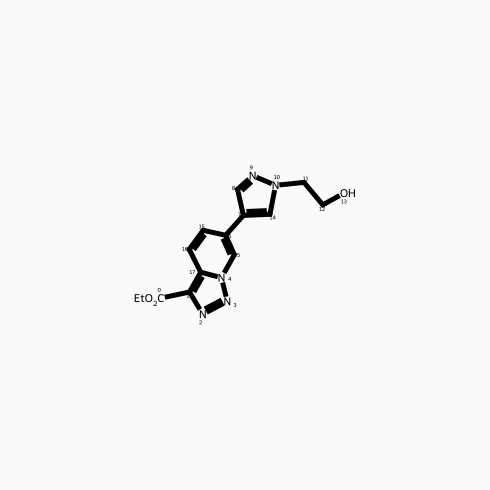 CCOC(=O)c1nnn2cc(-c3cnn(CCO)c3)ccc12